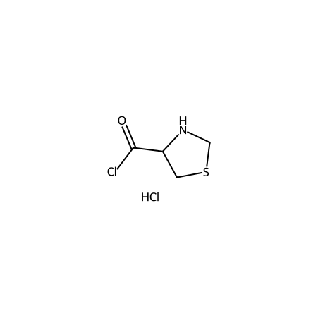 Cl.O=C(Cl)C1CSCN1